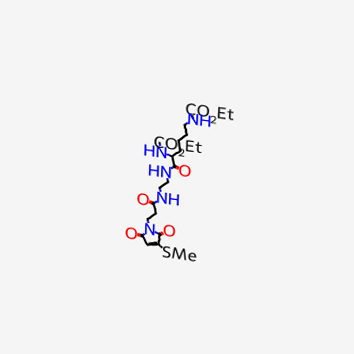 CCOC(=O)NCCCCC(NC(=O)OCC)C(=O)NCCNC(=O)CCN1C(=O)C=C(SC)C1=O